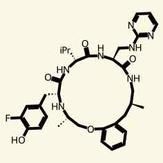 CC(C)[C@H]1NC(=O)[C@@H](Cc2ccc(O)c(F)c2)N[C@@H](C)COc2ccccc2C[C@H](C)CNC(=O)[C@H](CNc2ncccn2)NC1=O